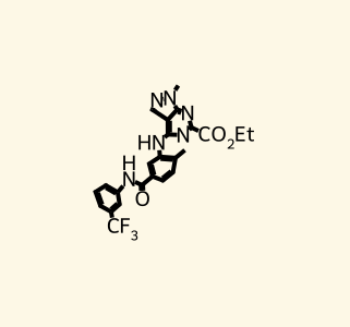 CCOC(=O)c1nc(Nc2cc(C(=O)Nc3cccc(C(F)(F)F)c3)ccc2C)c2cnn(C)c2n1